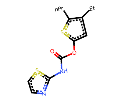 CCCc1sc(OC(=O)Nc2nccs2)cc1CC